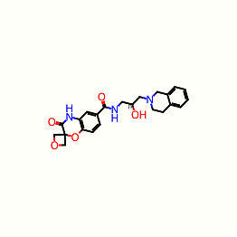 O=C(NC[C@H](O)CN1CCc2ccccc2C1)c1ccc2c(c1)NC(=O)C1(COC1)O2